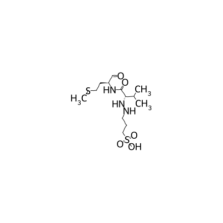 CSCC[C@@H](C=O)NC(=O)[C@@H](NNCCCS(=O)(=O)O)C(C)C